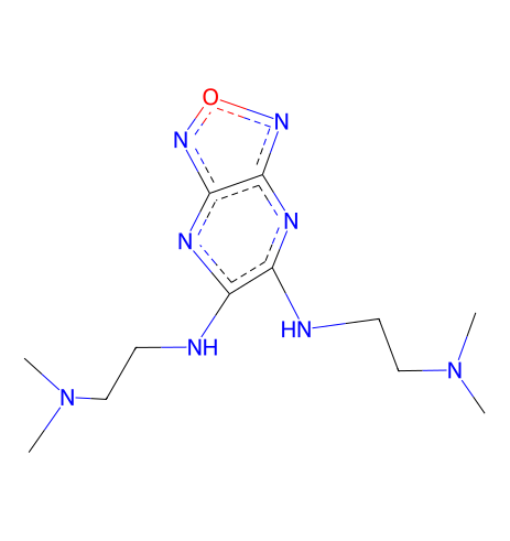 CN(C)CCNc1nc2nonc2nc1NCCN(C)C